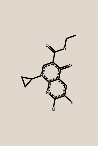 CCOC(=O)c1cn(C2CC2)c2nc(Cl)c(Cl)cc2c1=O